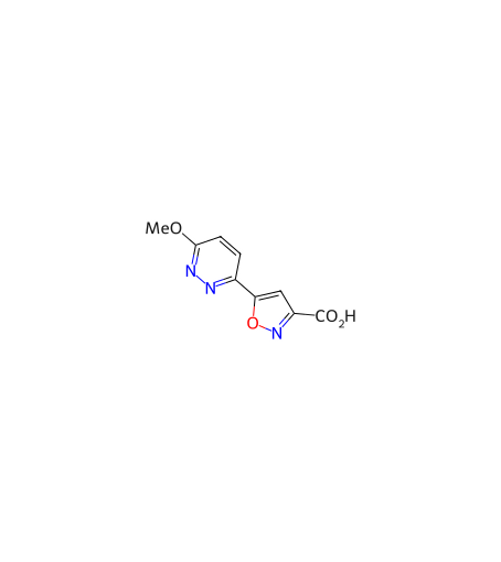 COc1ccc(-c2cc(C(=O)O)no2)nn1